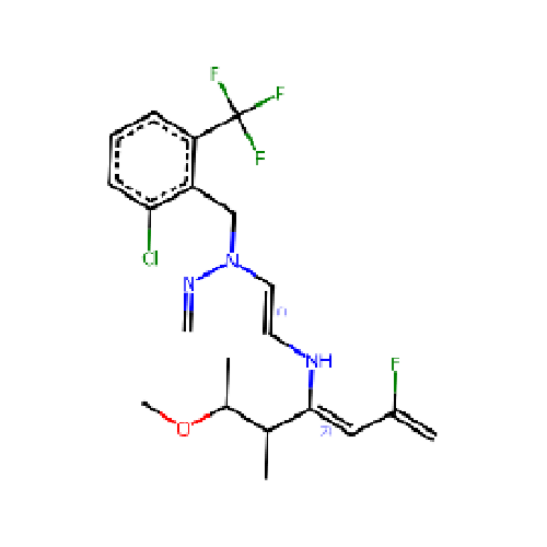 C=NN(/C=C/N/C(=C\C(=C)F)C(C)C(C)OC)Cc1c(Cl)cccc1C(F)(F)F